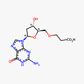 Nc1nc2c(ncn2[C@H]2C[C@H](O)[C@@H](COCCC(=O)O)O2)c(=O)[nH]1